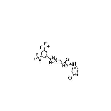 O=C(C=Cn1cnc(-c2cc(C(F)(F)F)cc(C(F)(F)F)c2)n1)NNc1cc(Cl)ncn1